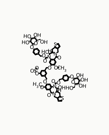 COc1cc2c(cc1OCc1cc(COc3cc4c(cc3OC)C(=O)N3Cc5ccsc5C[C@H]3C(O)N4C(=O)OCc3ccc(O[C@@H]4O[C@H](CO)[C@H](O)[C@H](O)[C@H]4O)cc3)cc(O[S](=O)=O)c1)N(C(=O)OCc1ccc(O[C@@H]3O[C@H](CO)[C@H](O)[C@H](O)[C@H]3O)cc1)C(O)[C@H]1Cc3sccc3CN1C2=O